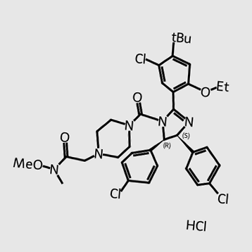 CCOc1cc(C(C)(C)C)c(Cl)cc1C1=N[C@@H](c2ccc(Cl)cc2)[C@@H](c2ccc(Cl)cc2)N1C(=O)N1CCN(CC(=O)N(C)OC)CC1.Cl